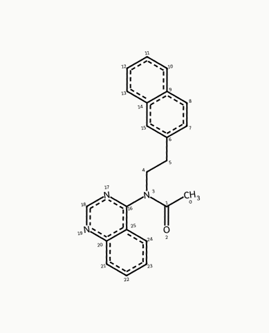 CC(=O)N(CCc1ccc2ccccc2c1)c1ncnc2ccccc12